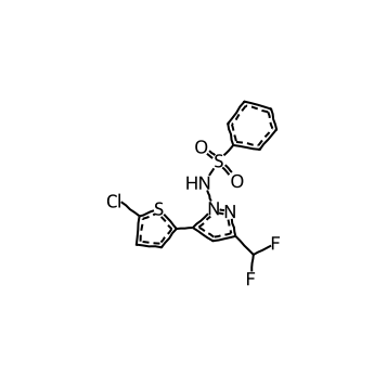 O=S(=O)(Nn1nc(C(F)F)cc1-c1ccc(Cl)s1)c1ccccc1